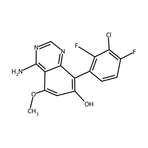 COc1cc(O)c(-c2ccc(F)c(Cl)c2F)c2ncnc(N)c12